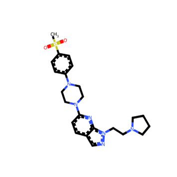 CS(=O)(=O)c1ccc(N2CCN(c3ccc4cnn(CCN5CCCC5)c4n3)CC2)cc1